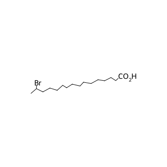 CC(Br)CCCCCCCCCCCCCC(=O)O